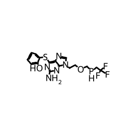 Nc1nc(Sc2ccccc2O)c2ncn(CCOCPCC(F)(F)F)c2n1